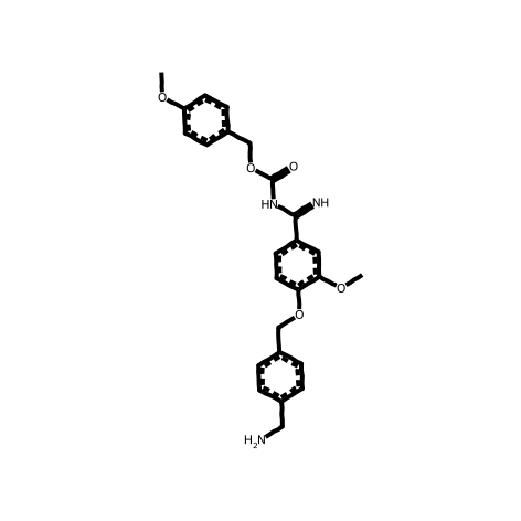 COc1ccc(COC(=O)NC(=N)c2ccc(OCc3ccc(CN)cc3)c(OC)c2)cc1